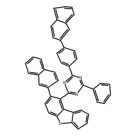 c1ccc(-c2nc(-c3ccc(-c4ccc5ccccc5c4)cc3)nc(-c3c(-c4ccc5ccccc5c4)ccc4oc5ccccc5c34)n2)cc1